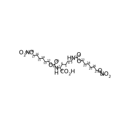 O=C(NCCCCC(NC(=O)OCCCCCCO[N+](=O)[O-])C(=O)O)OCCCCCCO[N+](=O)[O-]